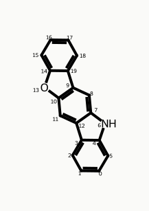 c1ccc2c(c1)[nH]c1cc3c(cc12)oc1ccccc13